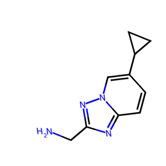 NCc1nc2ccc(C3CC3)cn2n1